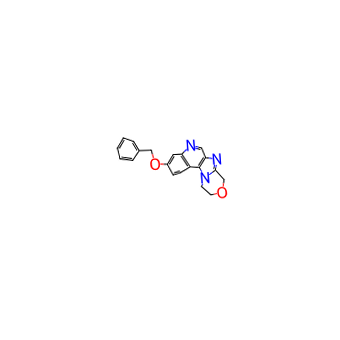 c1ccc(COc2ccc3c(c2)ncc2nc4n(c23)CCOC4)cc1